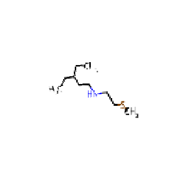 CCC(CC)CCNCCSC